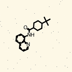 CC(C)(C)C1CCC(C(=O)Nc2cccc3cccnc23)CC1